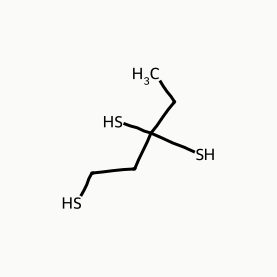 CCC(S)(S)CCS